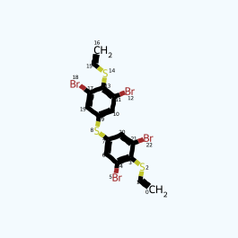 C=CSc1c(Br)cc(Sc2cc(Br)c(SC=C)c(Br)c2)cc1Br